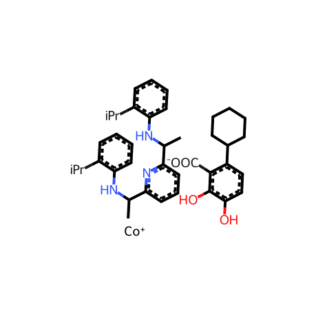 CC(C)c1ccccc1NC(C)c1cccc(C(C)Nc2ccccc2C(C)C)n1.O=C([O-])c1c(C2CCCCC2)ccc(O)c1O.[Co+]